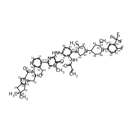 C=CC(=O)Nc1cc(Nc2nc(-c3ccnc(N4CCn5c(cc6c5CC(C)(C)C6)C4=O)c3CO)cn(C)c2=O)ccc1N1CCN(C2CCN(c3ccc(F)c(C(F)(F)F)c3)[C@@H](C)C2)C[C@@H]1C